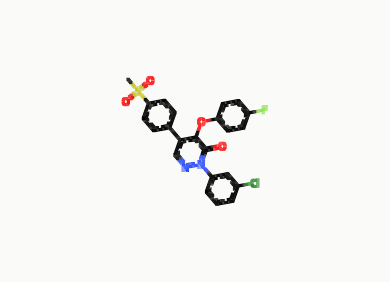 CS(=O)(=O)c1ccc(-c2cnn(-c3cccc(Cl)c3)c(=O)c2Oc2ccc(F)cc2)cc1